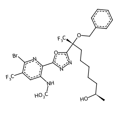 C[C@@H](O)CCCCC[C@@](OCc1ccccc1)(c1nnc(-c2nc(Br)c(C(F)(F)F)cc2NC(=O)O)o1)C(F)(F)F